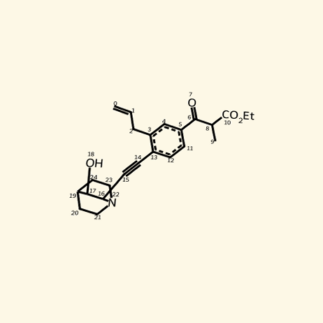 C=CCc1cc(C(=O)C(C)C(=O)OCC)ccc1C#CC1C(O)C2CCN1CC2